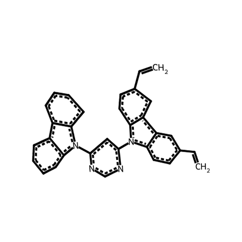 C=Cc1ccc2c(c1)c1cc(C=C)ccc1n2-c1cc(-n2c3ccccc3c3ccccc32)ncn1